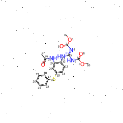 COC(=O)/N=C(/NC(=O)OC)Nc1ccc(Sc2ccccc2)cc1NC(C)=O